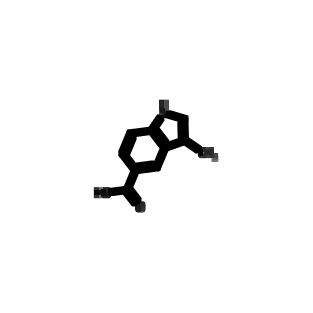 Cc1c[nH]c2ccc(C(=O)O)cc12